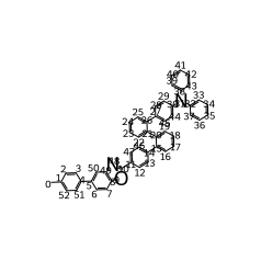 Cc1ccc(-c2ccc3oc(-c4ccc(-c5ccccc5-c5ccccc5-c5ccc(N(c6ccccc6)c6ccccc6)cc5)cc4)nc3c2)cc1